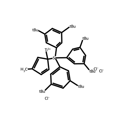 CC1=C[C]([Ti+3])([Si](c2cc(C(C)(C)C)cc(C(C)(C)C)c2)(c2cc(C(C)(C)C)cc(C(C)(C)C)c2)c2cc(C(C)(C)C)cc(C(C)(C)C)c2)C=C1.[Cl-].[Cl-].[Cl-]